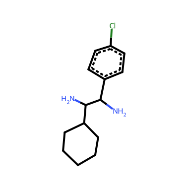 NC(c1ccc(Cl)cc1)C(N)C1CCCCC1